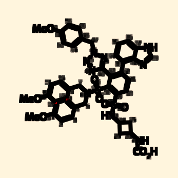 COc1ccc(CN(Cc2ccc(OC)cc2)S(=O)(=O)c2c(S(=O)(=O)NC3CC(NC(=O)O)C3)ccc(-c3cccc4[nH]cnc34)c2-c2nnn(Cc3ccc(OC)cc3)n2)cc1